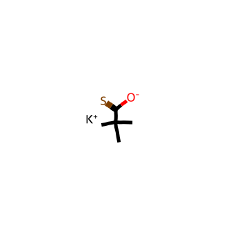 CC(C)(C)C([O-])=S.[K+]